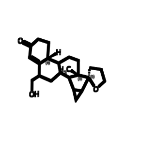 C[C@]12CCC3C(CC(CO)C4=CC(=O)CC[C@@H]43)C1C1CC1[C@@]21CCCO1